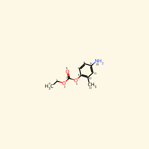 CCOC(=O)Oc1ccc(N)cc1C